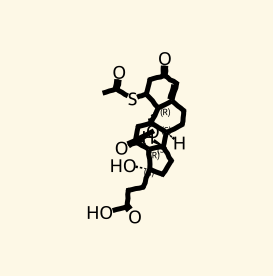 CC(=O)SC1CC(=O)C=C2CC[C@@H]3C4CC[C@@]5(C(=O)OC[C@@]214)[C@H]3CC[C@@]5(O)CCC(=O)O